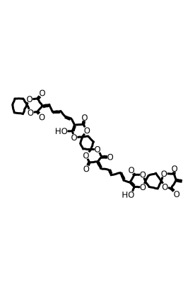 C=C1C(=O)OC2(CCC3(CC2)OC(=O)C(/C=C/C=C/C=C2C(=O)OC4(CCC5(CC4)OC(=O)C(/C=C/C=C/C=C4C(=O)OC6(CCCCC6)OC4=O)=C(O)O5)OC2=O)=C(O)O3)OC1=O